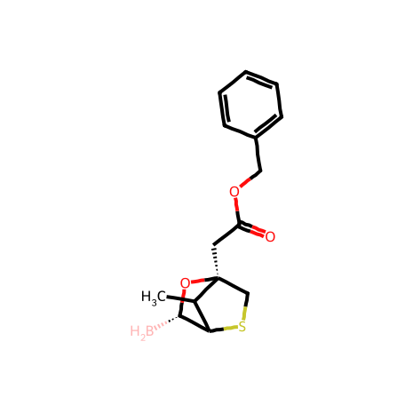 B[C@@H]1O[C@@]2(CC(=O)OCc3ccccc3)CSC1C2C